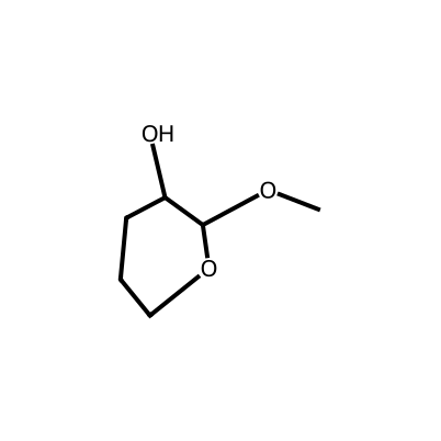 COC1OCCCC1O